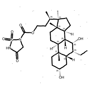 CC[C@H]1[C@@H](O)[C@@H]2[C@H](CC[C@@]3(C)[C@H]2CC[C@]3(C)[C@H](C)CCOC(=O)N2CC(=O)NS2(=O)=O)[C@@]2(C)CC[C@@H](O)C[C@@H]12